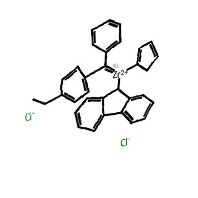 CCc1ccc(/[C](c2ccccc2)=[Zr+2](/[C]2=CC=CC2)[CH]2c3ccccc3-c3ccccc32)cc1.[Cl-].[Cl-]